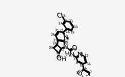 O=C(Nc1cc(-c2cnco2)ccn1)N1c2nc(-c3cccc(Cl)c3)ccc2C2C[C@@H](O)C21